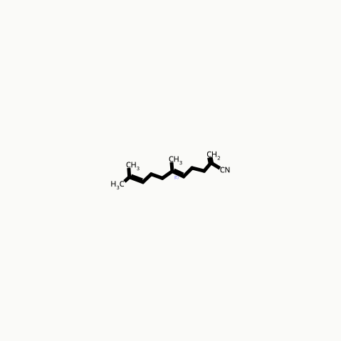 C=C(C#N)CC/C=C(\C)CCC=C(C)C